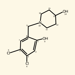 Oc1cc(Cl)c(Cl)cc1CN1CCC(O)CC1